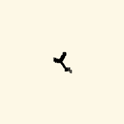 B[SiH]=O.[Zn]